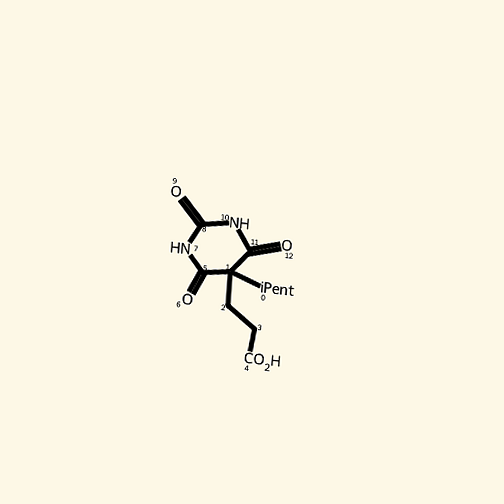 CCCC(C)C1(CCC(=O)O)C(=O)NC(=O)NC1=O